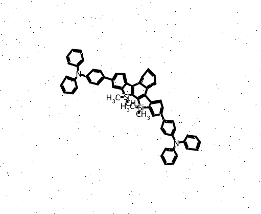 C[Si]1(C)c2cc(-c3ccc(N(c4ccccc4)c4ccccc4)cc3)ccc2-c2c1c1c(c3ccccc23)-c2ccc(-c3ccc(N(c4ccccc4)c4ccccc4)cc3)cc2[Si]1(C)C